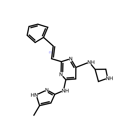 Cc1cc(Nc2cc(NC3CNC3)nc(/C=C/c3ccccc3)n2)n[nH]1